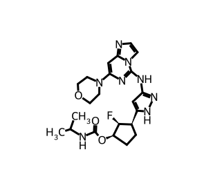 CC(C)NC(=O)O[C@@H]1CC[C@H](c2cc(Nc3nc(N4CCOCC4)cc4nccn34)n[nH]2)[C@@H]1F